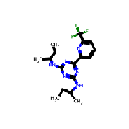 CCC(C)Nc1nc(NC(C)CC)nc(-c2cccc(C(F)(F)F)n2)n1